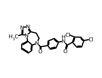 Cc1nnc2n1-c1ccccc1N(C(=O)c1ccc(NC(=O)c3ccc(Cl)cc3Cl)cc1)CC2